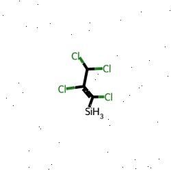 [SiH3]C(Cl)=C(Cl)C(Cl)Cl